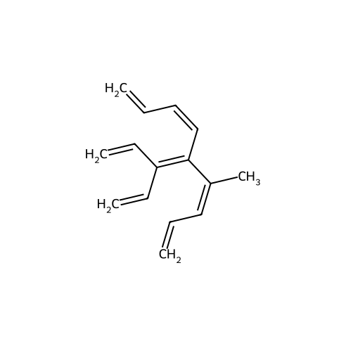 C=C/C=C\C(=C(C=C)C=C)/C(C)=C\C=C